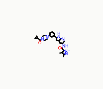 Cc1n[nH]c(C(=O)Nc2cnc3[nH]c(-c4cccc(N5CCN(C(=O)C6CC6)CC5)c4)cc3c2)c1C